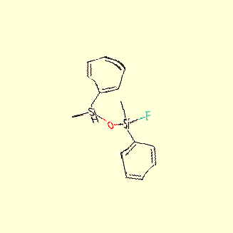 C[SiH](O[Si](C)(F)c1ccccc1)c1ccccc1